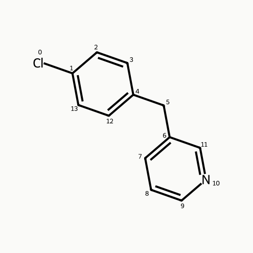 Clc1ccc(Cc2cccnc2)cc1